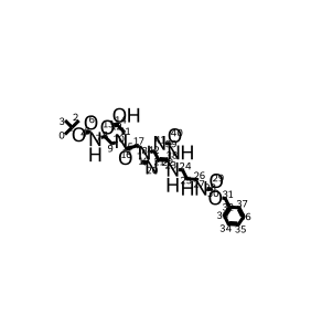 CC(C)(C)OC(=O)NCCN(CC(=O)O)C(=O)Cn1cnc2c(NCCCNC(=O)OCc3ccccc3)[nH]c(=O)nc21